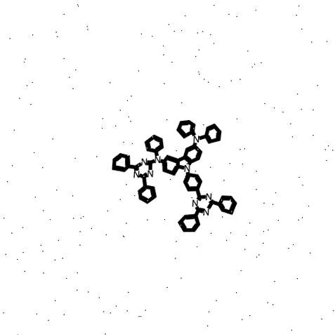 c1ccc(-c2nc(-c3ccccc3)nc(-c3ccc(-n4c5ccc(N(c6ccccc6)c6ccccc6)cc5c5cc(N(c6ccccc6)c6nc(-c7ccccc7)nc(-c7ccccc7)n6)ccc54)cc3)n2)cc1